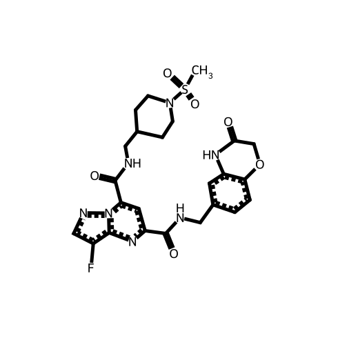 CS(=O)(=O)N1CCC(CNC(=O)c2cc(C(=O)NCc3ccc4c(c3)NC(=O)CO4)nc3c(F)cnn23)CC1